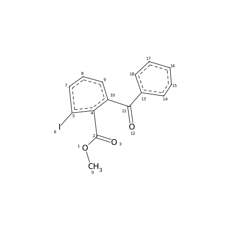 COC(=O)c1c(I)cccc1C(=O)c1ccccc1